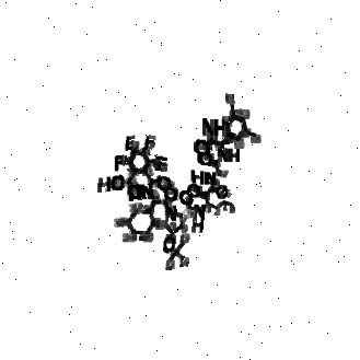 CCCC(NC(=O)[C@@H]1C[C@@H](OC(C)(C)C)CN1C(=O)[C@@H](NC(=O)c1c(F)c(F)c(F)c(F)c1C(=O)O)C1CCCCC1)C(=O)C(=O)NCC(=O)NC(C(N)=O)c1cc(C)cc(C)c1